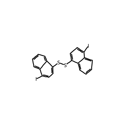 Ic1ccc(SSc2ccc(I)c3ccccc23)c2ccccc12